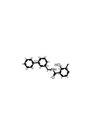 Cc1cccc(C(=O)NCc2cccc(-c3ccccc3)c2)c1O